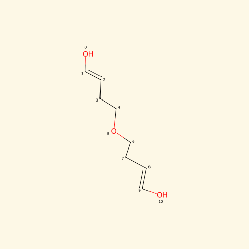 OC=CCCOCCC=CO